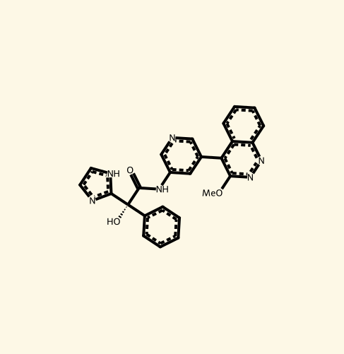 COc1nnc2ccccc2c1-c1cncc(NC(=O)[C@@](O)(c2ccccc2)c2ncc[nH]2)c1